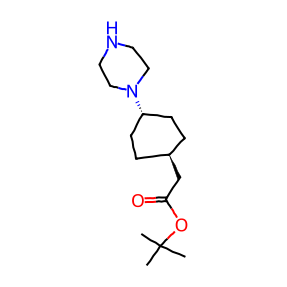 CC(C)(C)OC(=O)C[C@H]1CC[C@H](N2CCNCC2)CC1